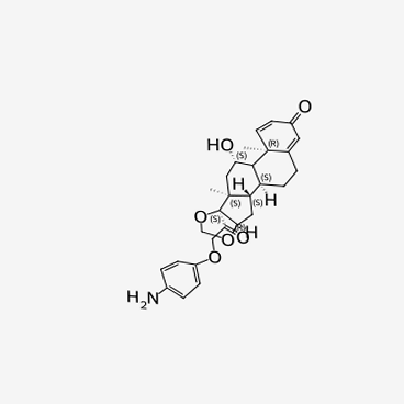 C[C@]12C=CC(=O)C=C1CC[C@@H]1C2[C@@H](O)C[C@@]2(C)[C@H]1C[C@H]1OCO[C@]12C(=O)COc1ccc(N)cc1